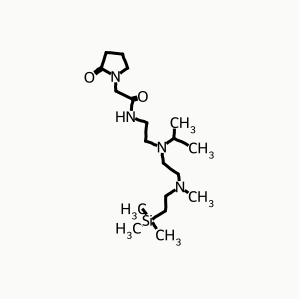 CC(C)N(CCNC(=O)CN1CCCC1=O)CCN(C)CC[Si](C)(C)C